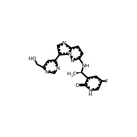 C[C@@H](Nc1ccc2ncc(-c3cc(CO)ncn3)n2n1)c1cc(F)c[nH]c1=O